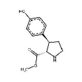 COC(=O)[C@H]1NCC[C@@H]1c1ccc(O)cc1